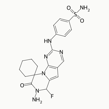 NN1C(=O)C2(CCCCC2)n2c(cc3cnc(Nc4ccc(S(N)(=O)=O)cc4)nc32)C1F